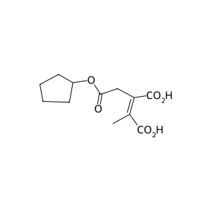 CC(C(=O)O)=C(CC(=O)OC1CCCC1)C(=O)O